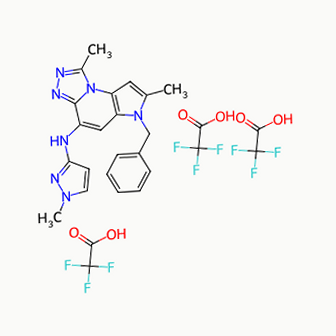 Cc1cc2c(cc(Nc3ccn(C)n3)c3nnc(C)n32)n1Cc1ccccc1.O=C(O)C(F)(F)F.O=C(O)C(F)(F)F.O=C(O)C(F)(F)F